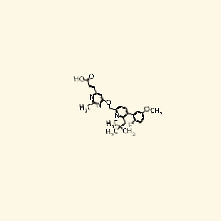 COc1ccc(F)c(-c2ccc(COc3cc(/C=C/C(=O)O)nc(C)n3)nc2CC(C)(C)C)c1